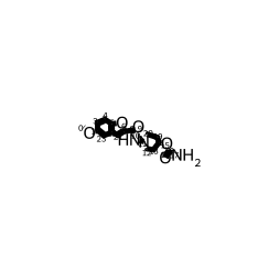 COc1ccc2oc(C(=O)NN3CCC(OC(N)=O)CC3)cc2c1